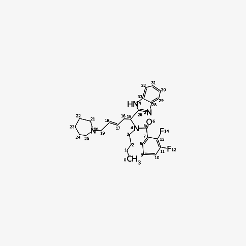 CCCCN(C(=O)c1cccc(F)c1F)C(CC=CCN1CCCCC1)c1nc2ccccc2[nH]1